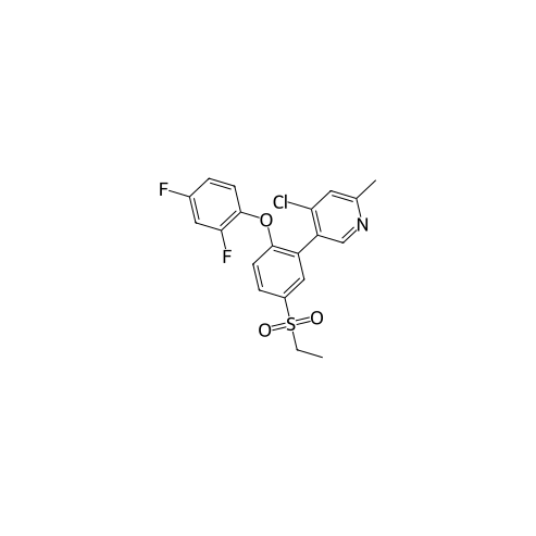 CCS(=O)(=O)c1ccc(Oc2ccc(F)cc2F)c(-c2cnc(C)cc2Cl)c1